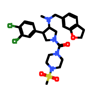 CN(Cc1ccc2c(c1)OCC2)C1CN(C(=O)N2CCN(S(C)(=O)=O)CC2)CC1c1ccc(Cl)c(Cl)c1